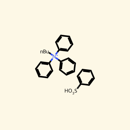 CCCC[N+](c1ccccc1)(c1ccccc1)c1ccccc1.O=S(=O)(O)c1ccccc1